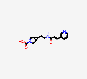 O=C(/C=C/c1cccnc1)NCCC1C2CN(C(=O)O)CC12